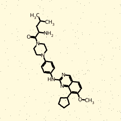 COc1ccc2cnc(Nc3ccc(N4CCN(C(=O)C(N)CC(C)C)CC4)cc3)nc2c1C1CCCC1